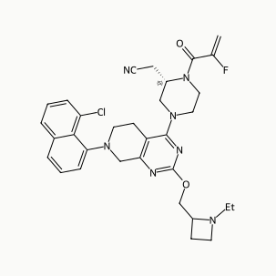 C=C(F)C(=O)N1CCN(c2nc(OCC3CCN3CC)nc3c2CCN(c2cccc4cccc(Cl)c24)C3)C[C@@H]1CC#N